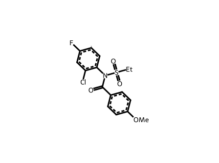 CCS(=O)(=O)N(C(=O)c1ccc(OC)cc1)c1c[c]c(F)cc1Cl